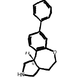 c1ccc(-c2ccc3c(c2)OCCC2CNC[C@H]32)cc1